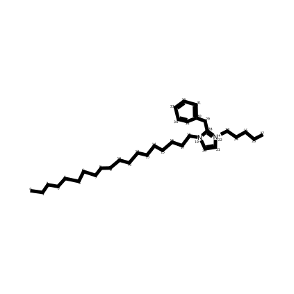 CCCCCCCCCCCCCCCCCCCn1cc[n+](CCCCC)c1Cc1ccccc1